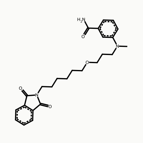 CN(CCCOCCCCCCN1C(=O)c2ccccc2C1=O)c1cccc(C(N)=O)c1